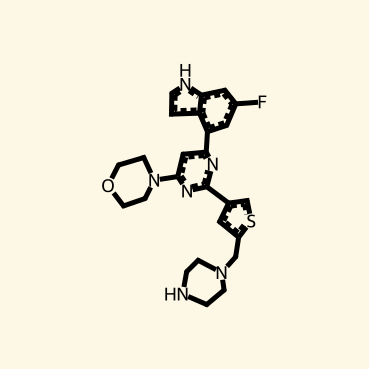 Fc1cc(-c2cc(N3CCOCC3)nc(-c3csc(CN4CCNCC4)c3)n2)c2cc[nH]c2c1